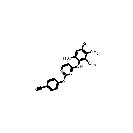 Cc1cc(Br)c(N)c(C)c1Nc1ccnc(Nc2ccc(C#N)cc2)n1